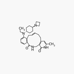 CCN(c1cccc2c1C/C=C/CCc1cc(C)[nH]c(=O)c1CNC2=O)[C@H]1CC[C@H](N2CCC2)CC1